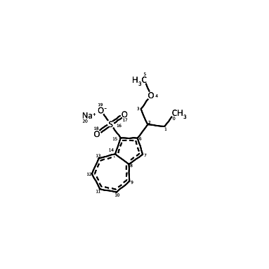 CCC(COC)c1cc2cccccc-2c1S(=O)(=O)[O-].[Na+]